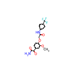 COc1cc(C(=O)C(N)=O)ccc1OCC(=O)Nc1ccc(C(F)(F)F)cc1